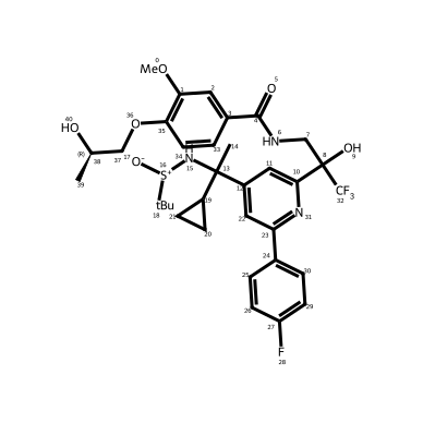 COc1cc(C(=O)NCC(O)(c2cc(C(C)(N[S+]([O-])C(C)(C)C)C3CC3)cc(-c3ccc(F)cc3)n2)C(F)(F)F)ccc1OC[C@@H](C)O